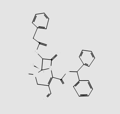 O=CC1=C(C(=O)OC(c2ccccc2)c2ccccc2)N2C(=O)C(NC(=O)Cc3ccccc3)[C@H]2[S+]([O-])C1